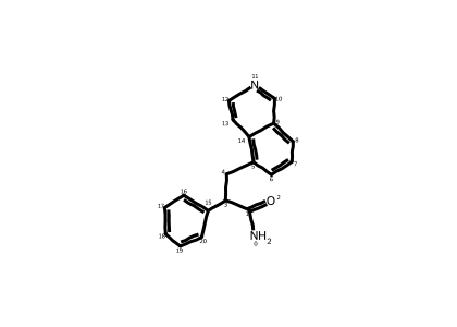 NC(=O)C(Cc1cccc2cnccc12)c1ccccc1